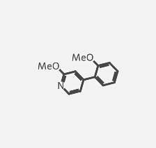 COc1cc(-c2ccccc2OC)ccn1